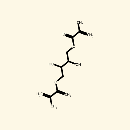 C=C(C)C(=C)OCC(O)C(O)COC(=O)C(=C)C